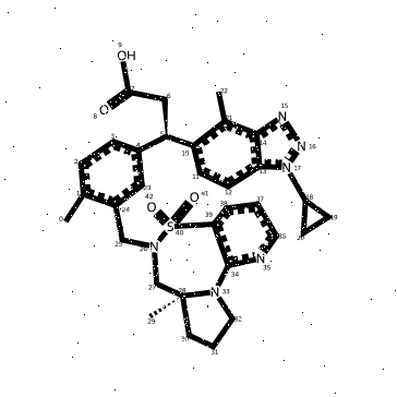 Cc1ccc([C@@H](CC(=O)O)c2ccc3c(nnn3C3CC3)c2C)cc1CN1C[C@]2(C)CCCN2c2ncccc2S1(=O)=O